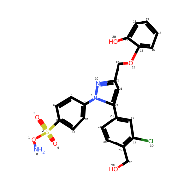 NOS(=O)(=O)c1ccc(-n2nc(COc3ccccc3O)cc2-c2ccc(CO)c(Cl)c2)cc1